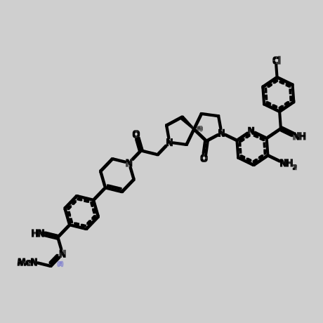 CN/C=N\C(=N)c1ccc(C2=CCN(C(=O)CN3CC[C@]4(CCN(c5ccc(N)c(C(=N)c6ccc(Cl)cc6)n5)C4=O)C3)CC2)cc1